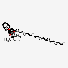 CC(C)(C)OC(=O)N1CC2CCC(C1)N2c1ccnc(OCCOCCOCCOCCOCCOCC=O)c1